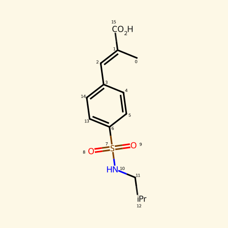 C/C(=C\c1ccc(S(=O)(=O)NCC(C)C)cc1)C(=O)O